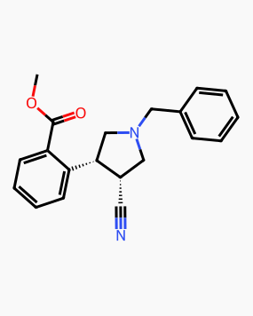 COC(=O)c1ccccc1[C@@H]1CN(Cc2ccccc2)C[C@@H]1C#N